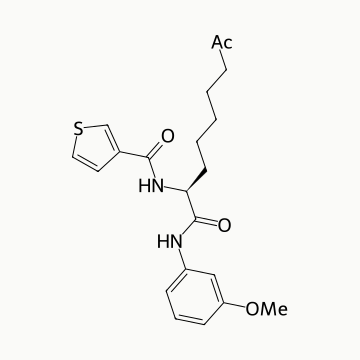 COc1cccc(NC(=O)[C@H](CCCCCC(C)=O)NC(=O)c2ccsc2)c1